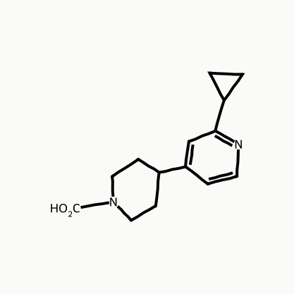 O=C(O)N1CCC(c2ccnc(C3CC3)c2)CC1